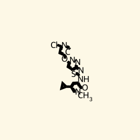 Cn1cc(C2CC2)cc(Nc2nc3nnc(Oc4ccnc(Cl)c4)cc3s2)c1=O